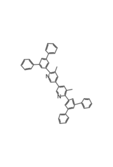 Cc1cc(-c2cnc(-c3cc(-c4ccccc4)cc(-c4ccccc4)c3)c(C)c2)cnc1-c1cc(-c2ccccc2)cc(-c2ccccc2)c1